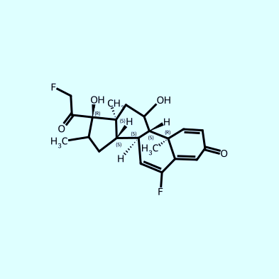 CC1C[C@H]2[C@@H]3C=C(F)C4=CC(=O)C=C[C@]4(C)[C@H]3C(O)C[C@]2(C)[C@@]1(O)C(=O)CF